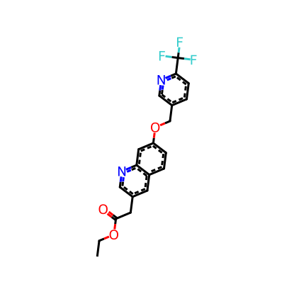 CCOC(=O)Cc1cnc2cc(OCc3ccc(C(F)(F)F)nc3)ccc2c1